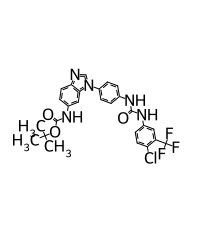 CC(C)(C)OC(=O)Nc1ccc2ncn(-c3ccc(NC(=O)Nc4ccc(Cl)c(C(F)(F)F)c4)cc3)c2c1